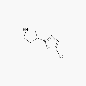 CCc1cnn(C2CCNC2)c1